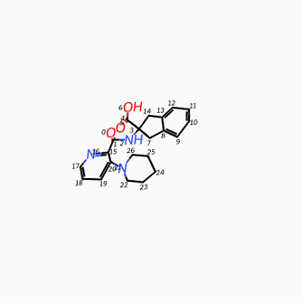 O=C(NC1(C(=O)O)Cc2ccccc2C1)c1ncccc1N1CCCCC1